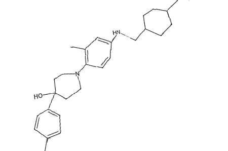 Cc1cc(NCC2CCC(N)CC2)ccc1N1CCC(O)(c2ccc(Cl)cc2)CC1